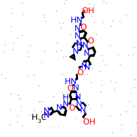 Cn1cc(-c2cccc(NC(=O)c3cc4oc(NCCOCn5cc(-c6cccc(NC(=O)c7cc8oc(NCCO)nc8nc7N7CCN(C8CC8)CC7)n6)cn5)nc4nc3N3CCN(CCO)CC3)n2)cn1